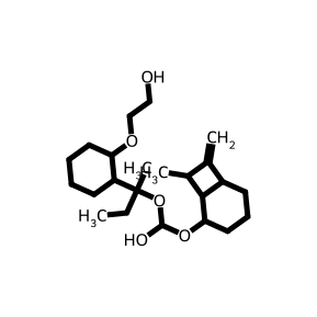 C=C1C(C)C2C(OC(O)OC(C)(CC)C3CCCCC3OCCO)CCCC12